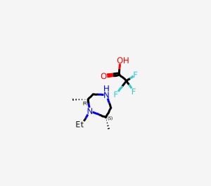 CCN1[C@H](C)CNC[C@@H]1C.O=C(O)C(F)(F)F